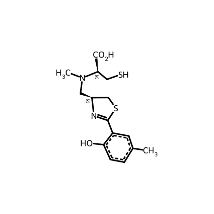 Cc1ccc(O)c(C2=N[C@@H](CN(C)[C@H](CS)C(=O)O)CS2)c1